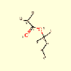 CCCC(C)(C)OC(=O)C(C)C